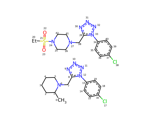 CC1CCCCN1Cc1nnnn1-c1ccc(Cl)cc1.CCS(=O)(=O)N1CCN(Cc2nnnn2-c2ccc(Cl)cc2)CC1